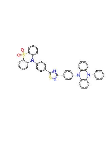 O=S1(=O)c2ccccc2N(c2ccc(-c3nc(-c4ccc(N5c6ccccc6N(c6ccccc6)c6ccccc65)cc4)ns3)cc2)c2ccccc21